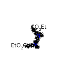 CCOC(=O)Cc1ccc(-c2ccc(N(c3ccccc3)c3ccc(-c4ccc(N(c5ccccc5)c5ccc(-c6ccc(CC(=O)OCC)cc6)cc5)cc4)cc3)cc2)cc1